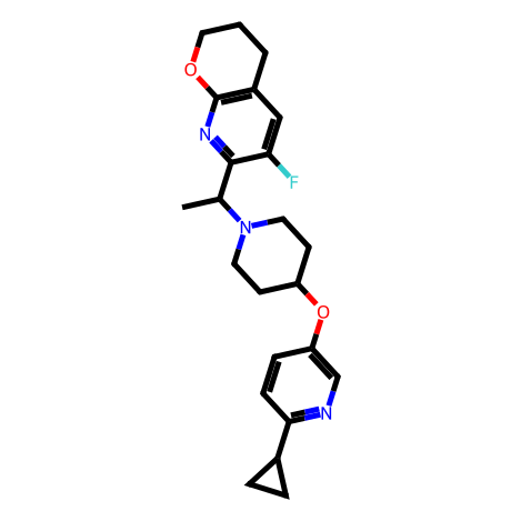 CC(c1nc2c(cc1F)CCCO2)N1CCC(Oc2ccc(C3CC3)nc2)CC1